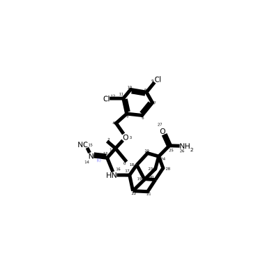 CC(C)(OCc1ccc(Cl)cc1Cl)/C(=N\C#N)NC1C2CC3CC1CC(C(N)=O)(C3)C2